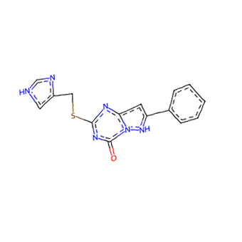 O=c1nc(SCc2c[nH]cn2)nc2cc(-c3ccccc3)[nH]n12